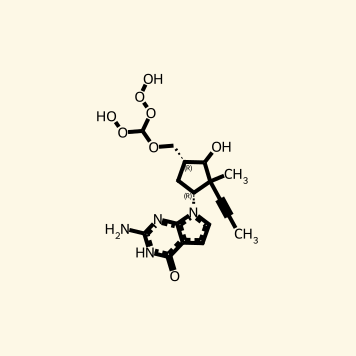 CC#CC1(C)C(O)[C@@H](COC(OO)OOO)C[C@H]1n1ccc2c(=O)[nH]c(N)nc21